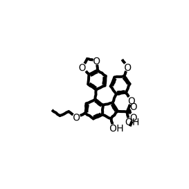 CCCOc1cc(-c2ccc3c(c2)OCO3)c2c(c1)C(O)C(C(=O)O)=C2c1ccc(OC)cc1OCOC